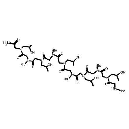 CCC(C)NCC(=O)N(CC(=O)N(CC(=O)N(CC(=O)N(CC(=O)N(CC(=O)N(CC(=O)N(CC(=O)N(CC(=O)N(CC(N)=O)CC(C)O)C(C)CC)CC(C)O)C(C)CC)CC(C)O)C(C)CC)CC(C)O)C(C)CC)CC(C)O